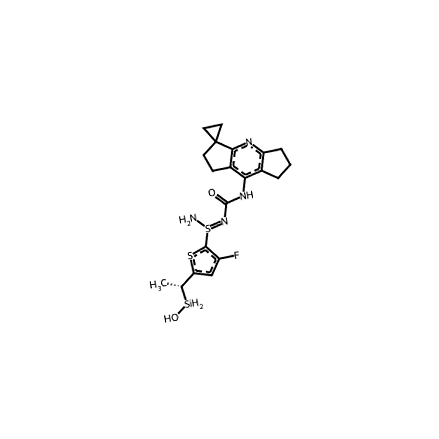 C[C@@H]([SiH2]O)c1cc(F)c(/S(N)=N/C(=O)Nc2c3c(nc4c2CCC42CC2)CCC3)s1